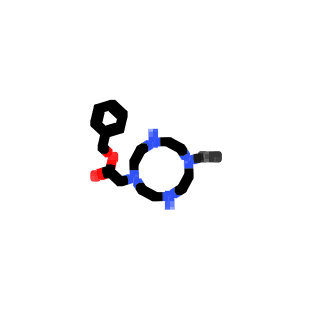 O=CN1CCNCCN(CC(=O)OCc2ccccc2)CCNCC1